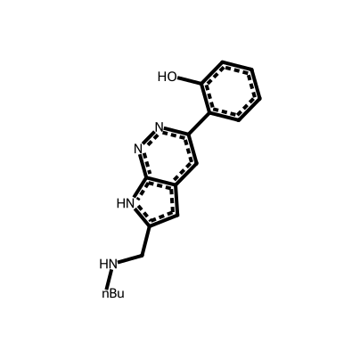 CCCCNCc1cc2cc(-c3ccccc3O)nnc2[nH]1